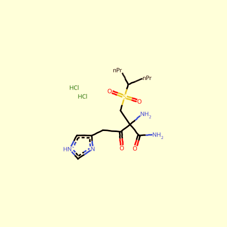 CCCC(CCC)S(=O)(=O)CC(N)(C(N)=O)C(=O)Cc1c[nH]cn1.Cl.Cl